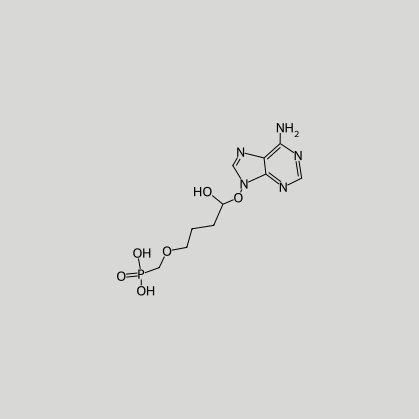 Nc1ncnc2c1ncn2OC(O)CCCOCP(=O)(O)O